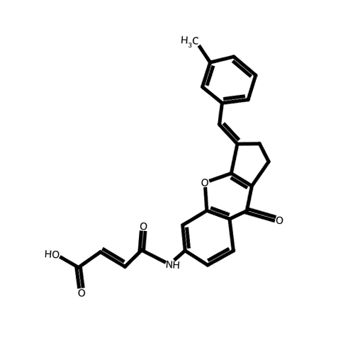 Cc1cccc(C=C2CCc3c2oc2cc(NC(=O)C=CC(=O)O)ccc2c3=O)c1